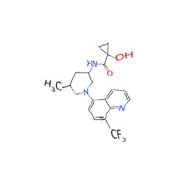 CC1CC(NC(=O)C2(O)CC2)CN(c2ccc(C(F)(F)F)c3ncccc23)C1